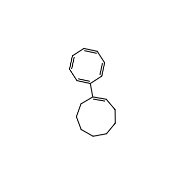 C1=CC=CC(C2=CCCCCCCC2)=CC=C1